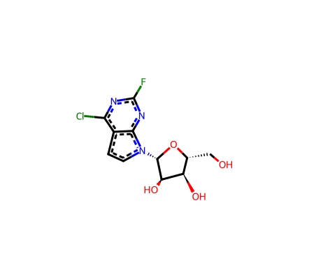 OC[C@H]1O[C@@H](n2ccc3c(Cl)nc(F)nc32)[C@H](O)[C@@H]1O